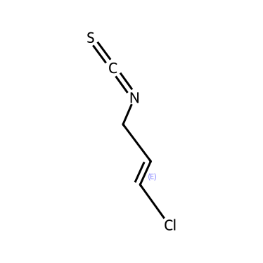 S=C=NC/C=C/Cl